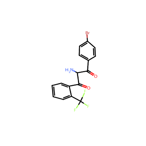 NC(C(=O)c1ccc(Br)cc1)C(=O)c1ccccc1C(F)(F)F